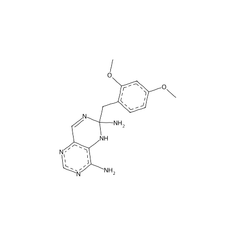 COc1ccc(CC2(N)N=Cc3ncnc(N)c3N2)c(OC)c1